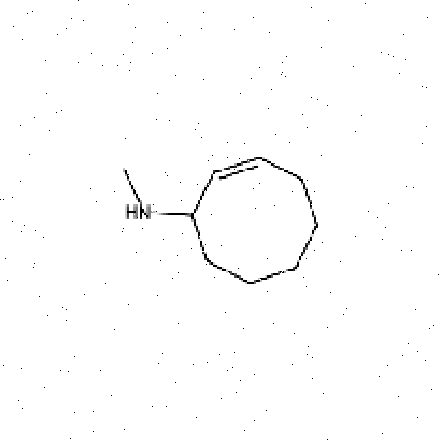 CNC1/C=C\CCCCC1